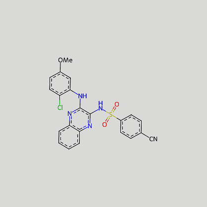 COc1ccc(Cl)c(Nc2nc3ccccc3nc2NS(=O)(=O)c2ccc(C#N)cc2)c1